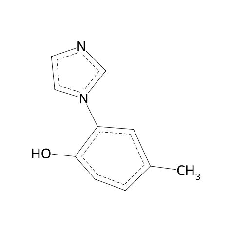 Cc1ccc(O)c(-n2ccnc2)c1